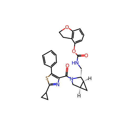 O=C(NC[C@@H]1[C@H]2C[C@H]2CN1C(=O)c1nc(C2CC2)sc1-c1ccccc1)Oc1cccc2c1CCO2